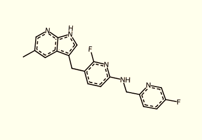 Cc1cnc2[nH]cc(Cc3ccc(NCc4ccc(F)cn4)nc3F)c2c1